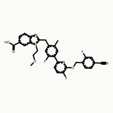 COCCn1c(Cc2cc(F)c(-c3ccc(F)c(OCc4ccc(C#N)cc4F)n3)cc2C)nc2ccc(C(=O)O)cc21